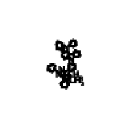 C[Si]1(C)c2ccccc2-c2nc(-c3ccccc3)nc(-c3cccc(-n4c5ccccc5c5c4ccc4c6ccccc6n(-c6ccccc6)c45)c3)c21